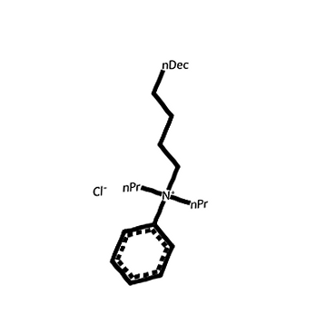 CCCCCCCCCCCCCC[N+](CCC)(CCC)c1ccccc1.[Cl-]